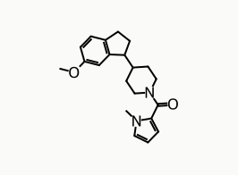 COc1ccc2c(c1)C(C1CCN(C(=O)c3cccn3C)CC1)CC2